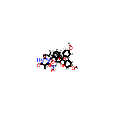 COc1ccc(C(c2ccccc2)(c2ccc(OC)cc2)C(O)[C@@]2(C[N+](=O)[O-])O[C@](n3cc(C)c(=O)[nH]c3=O)([SiH](C)C)C[C@@]2(O)C(C)(C)C)cc1